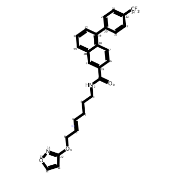 O=C(NCCC/C=C/COc1ccon1)c1ccc2c(-c3ccc(C(F)(F)F)cc3)cccc2c1